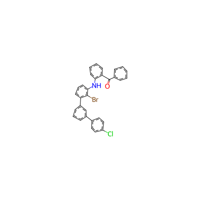 O=C(c1ccccc1)c1ccccc1Nc1cccc(-c2cccc(-c3ccc(Cl)cc3)c2)c1Br